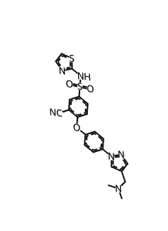 CN(C)Cc1cnn(-c2ccc(Oc3ccc(S(=O)(=O)Nc4nccs4)cc3C#N)cc2)c1